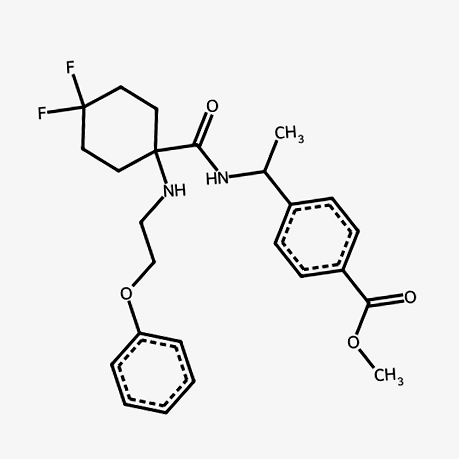 COC(=O)c1ccc(C(C)NC(=O)C2(NCCOc3ccccc3)CCC(F)(F)CC2)cc1